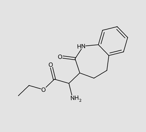 CCOC(=O)C(N)C1CCc2ccccc2NC1=O